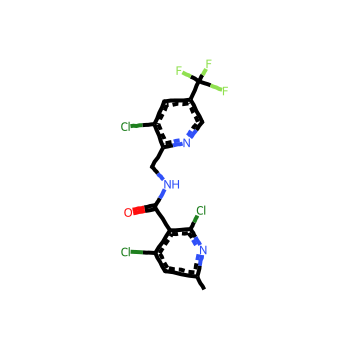 Cc1cc(Cl)c(C(=O)NCc2ncc(C(F)(F)F)cc2Cl)c(Cl)n1